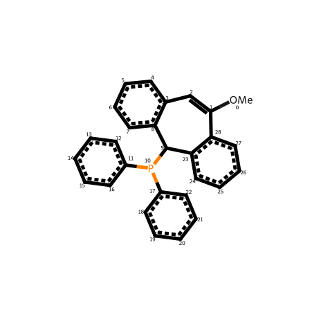 COC1=Cc2ccccc2C(P(c2ccccc2)c2ccccc2)c2ccccc21